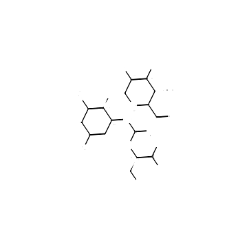 CC(O)[C@@H](CO)OC(O)OC1CC(N)CC(N)[C@H]1O[C@H]1OC(CO)[C@@H](O)C(O)C1N